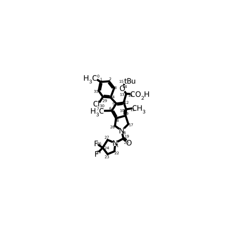 Cc1ccc(-c2c(C)c3c(c(C)c2C(OC(C)(C)C)C(=O)O)CN(C(=O)N2CCC(F)(F)C2)C3)c(Cl)c1